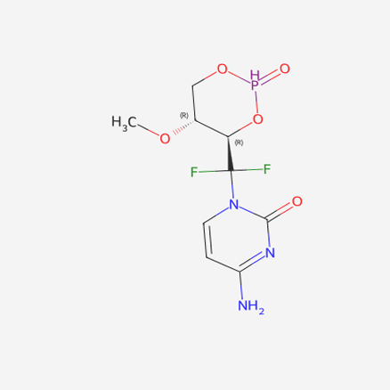 CO[C@@H]1CO[PH](=O)O[C@H]1C(F)(F)n1ccc(N)nc1=O